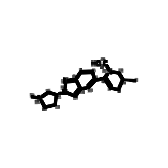 C[C@H]1CC=C(c2ccc3nn([C@@H]4CCN(C)C4)cc3c2)N(C(=O)O)C1